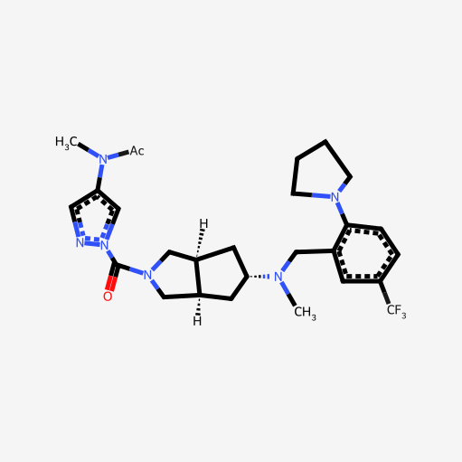 CC(=O)N(C)c1cnn(C(=O)N2C[C@H]3C[C@H](N(C)Cc4cc(C(F)(F)F)ccc4N4CCCC4)C[C@H]3C2)c1